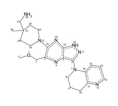 COCc1nc2c(N3CCCc4ncccc43)n[nH]c2nc1N1CCC(C)(CN)CC1